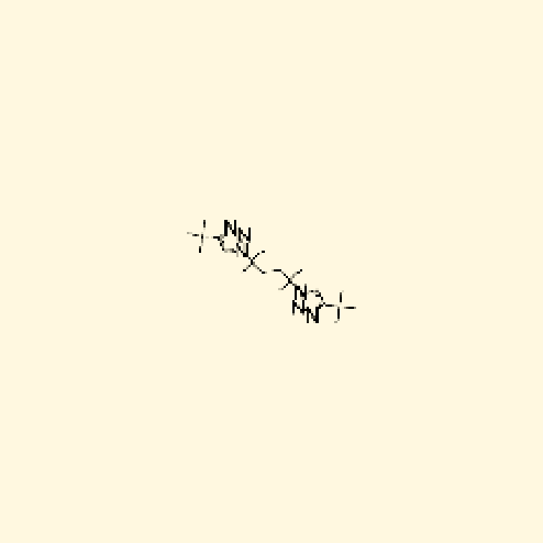 CC(C)(C)c1cn(C(C)(C)CCC(C)(C)n2cc(C(C)(C)C)nn2)nn1